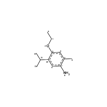 CCOc1cc(C)c(N)cc1C(C)C